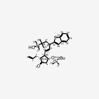 C=CC[C@H]1C(=O)C[C@@H](O[Si](C)(C)C(C)(C)C)[C@@H]1/C=C/[C@@H](CC(C)(C)[Si](C)(C)O)c1cc2ccccc2s1